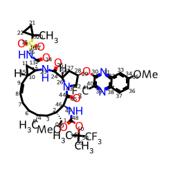 COC[C@@H]1C[C@H](C)CC/C=C\[C@@H]2C[C@@]2(C(=O)NS(=O)(=O)C2(C)CC2)NC(=O)[C@@H]2C[C@@H](Oc3nc4cc(OC)ccc4nc3C(F)(F)F)CN2C(=O)[C@H]1NC(=O)OC(C)(C)C(F)(F)F